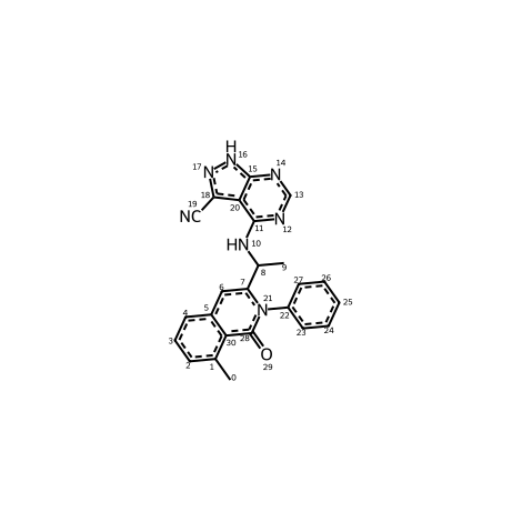 Cc1cccc2cc(C(C)Nc3ncnc4[nH]nc(C#N)c34)n(-c3ccccc3)c(=O)c12